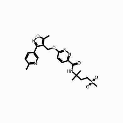 Cc1ccc(-c2noc(C)c2COc2ccc(C(=O)NC(C)(C)CCS(C)(=O)=O)nn2)cn1